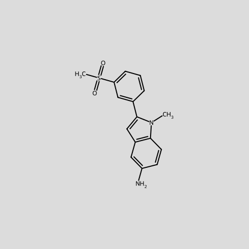 Cn1c(-c2cccc(S(C)(=O)=O)c2)cc2cc(N)ccc21